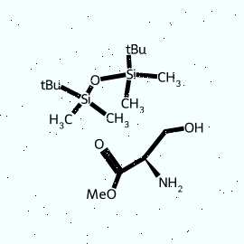 CC(C)(C)[Si](C)(C)O[Si](C)(C)C(C)(C)C.COC(=O)[C@H](N)CO